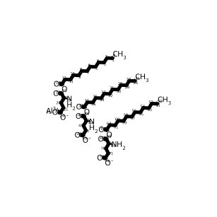 CCCCCCCCCCCCCC(=O)OC(=O)[C@@H](N)CCC(=O)[O-].CCCCCCCCCCCCCC(=O)OC(=O)[C@@H](N)CCC(=O)[O-].CCCCCCCCCCCCCC(=O)OC(=O)[C@@H](N)CCC(=O)[O-].[Al+3]